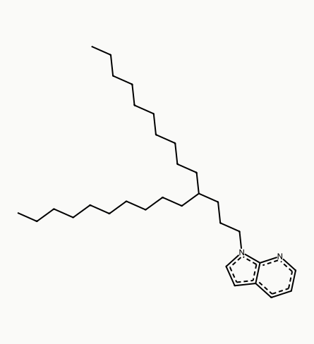 CCCCCCCCCCC(CCCCCCCCCC)CCCn1ccc2cccnc21